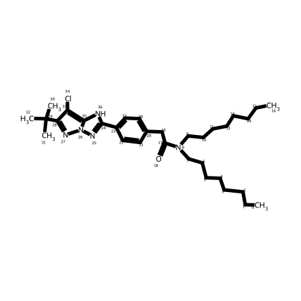 CCCCCCCCN(CCCCCCCC)C(=O)Cc1ccc(-c2nn3nc(C(C)(C)C)c(Cl)c3[nH]2)cc1